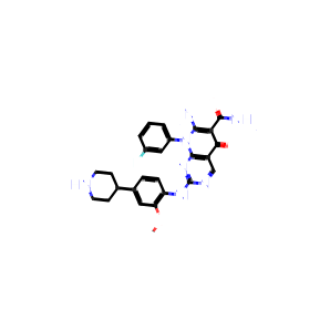 COc1cc(C2CCNCC2)ccc1Nc1ncc2c(=O)c(C(N)=O)c(N)n(-c3cccc(F)c3)c2n1